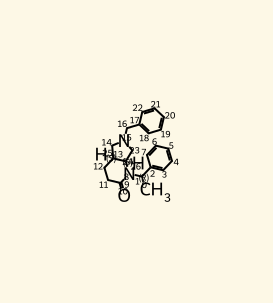 C[C@H](c1ccccc1)N1C(=O)CC[C@H]2CN(Cc3ccccc3)C[C@H]21